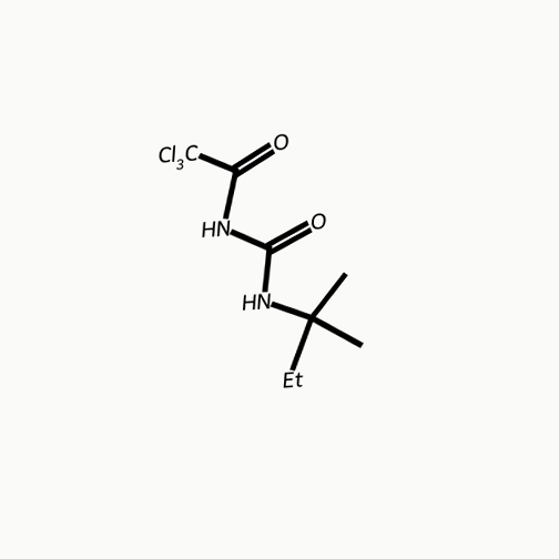 CCC(C)(C)NC(=O)NC(=O)C(Cl)(Cl)Cl